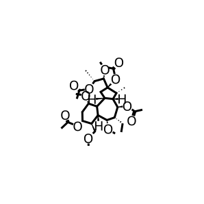 CC[C@@H]1[C@H](OC)[C@H]2C([C@@H](OC)C[C@@H](OC(C)=O)[C@@H]2COC)[C@@H]2C[C@](OC(C)=O)([C@@H](OC)[C@@H](C)OC(C)=O)[C@H](C)[C@@H]2[C@H]1OC(C)=O